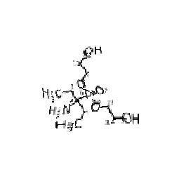 CCC(N)(CC)P(=O)(OCCO)OCCO